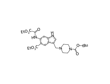 CCOC(=O)C(=O)Nc1cc2[nH]cc(CN3CCN(C(=O)OC(C)(C)C)CC3)c2cc1C(=O)OCC